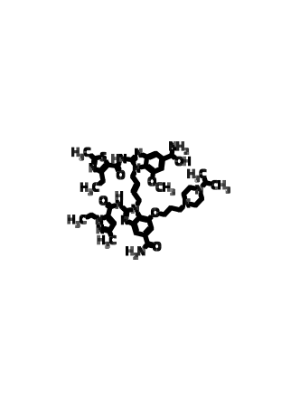 CCc1nc(C)sc1C(=O)Nc1nc2cc(C(N)O)cc(OC)c2n1C/C=C/Cn1c(NC(=O)c2cc(C)nn2CC)nc2cc(C(N)=O)cc(OCCCN3CCN(C(C)C)CC3)c21